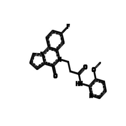 COc1cccnc1NC(=O)CCn1c(=O)c2cccn2c2ccc(F)cc21